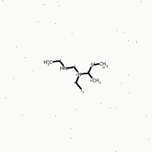 CCNCN(CI)C(C)SC